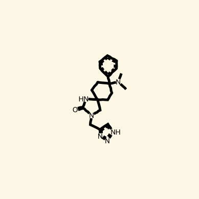 CN(C)C1(c2ccccc2)CCC2(CC1)CN(Cc1c[nH]nn1)C(=O)N2